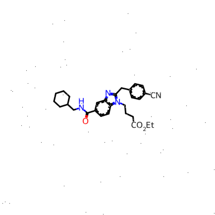 CCOC(=O)CCCn1c(Cc2ccc(C#N)cc2)nc2cc(C(=O)NCC3CCCCC3)ccc21